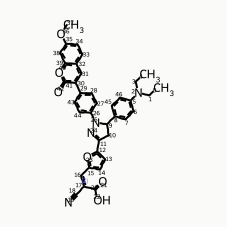 CCN(CC)c1ccc(C2CC(c3ccc(/C=C(/C#N)C(=O)O)o3)=NN2c2ccc(-c3cc4ccc(OC)cc4oc3=O)cc2)cc1